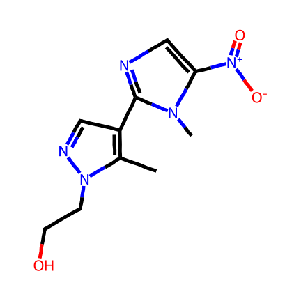 Cc1c(-c2ncc([N+](=O)[O-])n2C)cnn1CCO